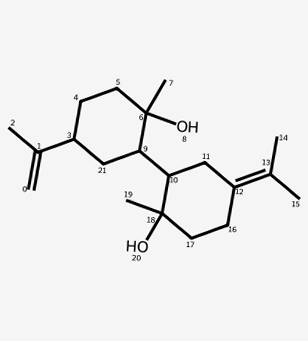 C=C(C)C1CCC(C)(O)C(C2CC(=C(C)C)CCC2(C)O)C1